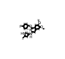 COc1cc2cc(Nc3cc(C)[nH]n3)nc(Oc3ccc(F)cc3)c2cc1OC